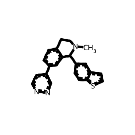 CN1CCc2ccc(-c3ccnnc3)cc2C1c1ccc2sccc2c1